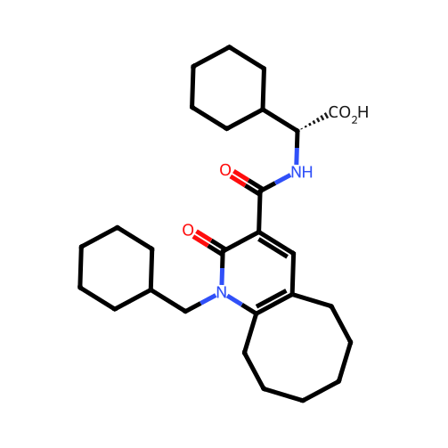 O=C(N[C@@H](C(=O)O)C1CCCCC1)c1cc2c(n(CC3CCCCC3)c1=O)CCCCCC2